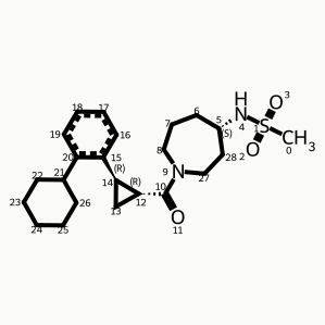 CS(=O)(=O)N[C@H]1CCCN(C(=O)[C@@H]2C[C@H]2c2ccccc2C2CCCCC2)CC1